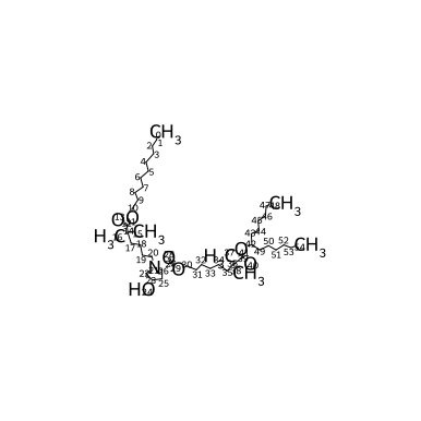 CCCCCCCCCCCOC(=O)C(C)(C)CCCCN1C[C@@H](O)C[C@H]1C(=O)OCCCCCCC(C)(C)C(=O)OC(CCCCCC)CCCCCC